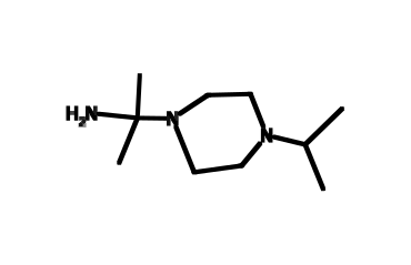 CC(C)N1CCN(C(C)(C)N)CC1